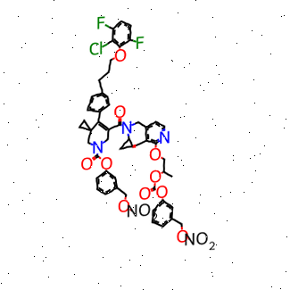 Cc1c(CN(C(=O)C2=C(c3ccc(CCCOc4c(F)ccc(F)c4Cl)cc3)C3(CC3)CN(C(=O)Oc3cccc(CO[N+](=O)[O-])c3)C2)C2CC2)ccnc1OCC(C)OC(=O)Oc1cccc(CO[N+](=O)[O-])c1